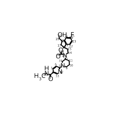 CNC(=O)c1ccc(N2CCCC(N3CCC(CCCO)(c4ccc(F)cc4)OC3=O)C2)nc1